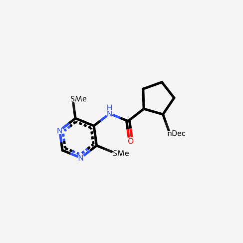 CCCCCCCCCCC1CCCC1C(=O)Nc1c(SC)ncnc1SC